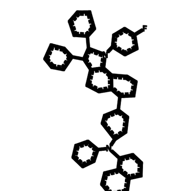 Fc1ccc(-n2c(-c3ccccc3)c(-c3ccccc3)c3ccc4c(-c5ccc(N(c6ccccc6)c6cccc7ccccc67)cc5)cccc4c32)cc1